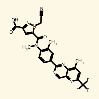 Cc1cc(-c2ncc3nc(C(F)(F)F)cc(C)c3n2)ccc1N(C)C(=O)c1cc(C(=O)O)nn1CC#N